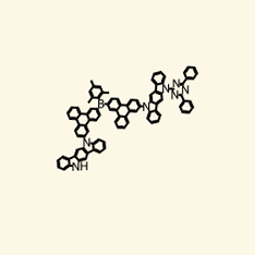 Cc1cc(C)c(B(c2ccc3c4ccc(-n5c6ccccc6c6cc7c(cc65)c5ccccc5n7-c5nc(-c6ccccc6)nc(-c6ccccc6)n5)cc4c4ccccc4c3c2)c2ccc3c(c2)c2ccccc2c2ccc(-n4c5ccccc5c5cc6[nH]c7ccccc7c6cc54)cc23)c(C)c1